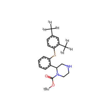 [2H]C([2H])([2H])c1ccc(Sc2ccccc2C2CNCCN2C(=O)OC(C)(C)C)c(C([2H])([2H])[2H])c1